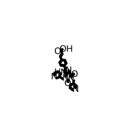 O=C(O)/C=C/c1ccc(-c2nc3c(=O)n(Cc4cccnc4)c(=O)n(Cc4cccnc4)c3[nH]2)cc1